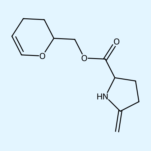 C=C1CCC(C(=O)OCC2CCC=CO2)N1